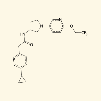 O=C(Cc1ccc(C2CC2)cc1)NC1CCN(c2ccc(OCC(F)(F)F)nc2)C1